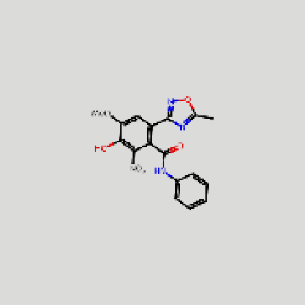 COc1cc(-c2noc(C)n2)c(C(=O)Nc2ccccc2)c([N+](=O)[O-])c1O